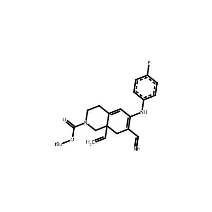 C=CC12CC(C=N)=C(Nc3ccc(F)cc3)C=C1CCN(C(=O)OC(C)(C)C)C2